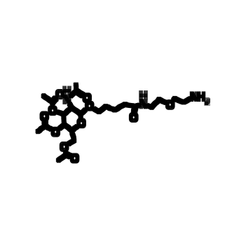 CC(=O)NC1C(OCCCCC(=O)NCCOCCN)OC(COC(C)=O)C(OC(C)=O)C1OC(C)=O